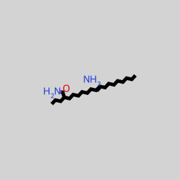 CCCCCCCCC=CCCCCCCC(CCC)C(N)=O.N